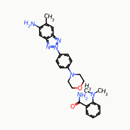 CN(C)c1ccccc1C(N)=O.Cc1cc2nn(-c3ccc(N4CCOCC4)cc3)nc2cc1N